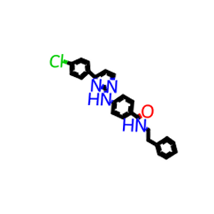 O=C(NCCc1ccccc1)c1ccc(Nc2nccc(-c3ccc(Cl)cc3)n2)cc1